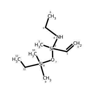 C=C[Si](C)(NCC)O[Si](C)(C)CC